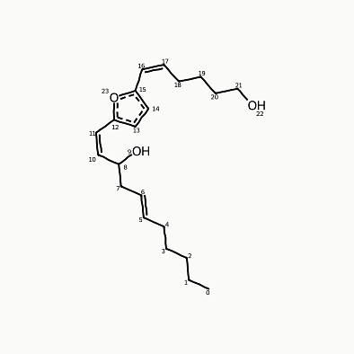 CCCCC/C=C/CC(O)/C=C\c1ccc(/C=C\CCCCO)o1